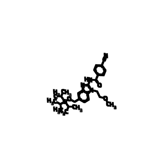 COCCn1c(NC(=O)c2ccc(C#N)cc2)nc2cc(CO[Si](C(C)C)(C(C)C)C(C)C)ccc21